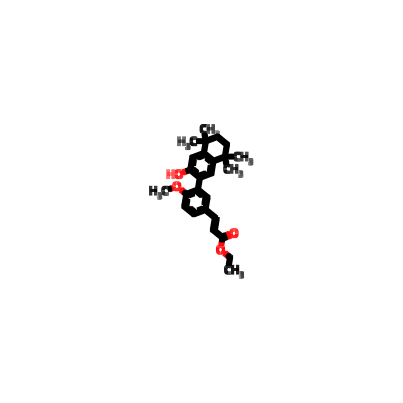 CCOC(=O)C=Cc1ccc(OC)c(-c2cc3c(cc2O)C(C)(C)CCC3(C)C)c1